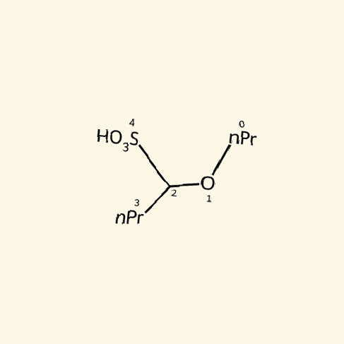 CCCOC(CCC)S(=O)(=O)O